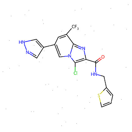 O=C(NCc1cccs1)c1nc2c(C(F)(F)F)cc(-c3cn[nH]c3)cn2c1Cl